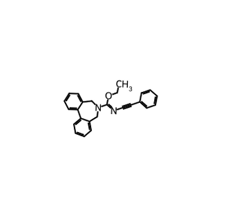 CCOC(=NC#Cc1ccccc1)N1Cc2ccccc2-c2ccccc2C1